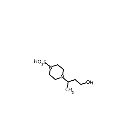 CC(CCO)N1CCN(S(=O)(=O)O)CC1